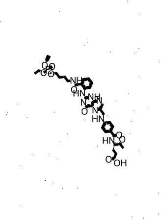 C#COP(=O)(OCC)OCCCCNC(=O)c1ccccc1Nc1nc(=O)c2nc(CNc3ccc(C(=O)N[C@@H](CCC(=O)O)C(C)=O)cc3)cnc2[nH]1